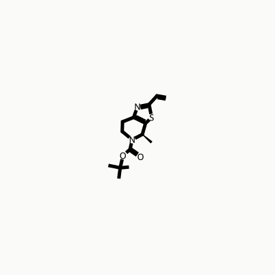 C=Cc1nc2c(s1)[C@@H](C)N(C(=O)OC(C)(C)C)CC2